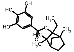 CCC1(OC(=O)c2cc(O)c(O)c(O)c2)C2(C)CCC(C2)C1(C)C